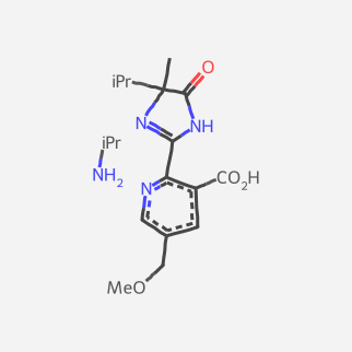 CC(C)N.COCc1cnc(C2=NC(C)(C(C)C)C(=O)N2)c(C(=O)O)c1